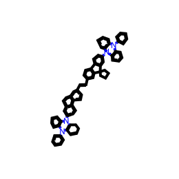 C1=CC2=C(CC1)N(c1ccc3c(ccc4cc(/C=C/c5ccc6c(c5)C5(CCCC5)c5cc(N7c8ccccc8N(c8ccccc8)c8ccccc87)ccc5-6)ccc43)c1)c1ccccc1N2c1ccccc1